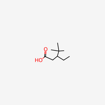 CCC(CC(=O)O)C(C)(C)C